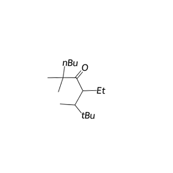 CCCCC(C)(C)C(=O)C(CC)C(C)C(C)(C)C